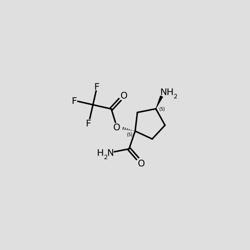 NC(=O)[C@]1(OC(=O)C(F)(F)F)CC[C@H](N)C1